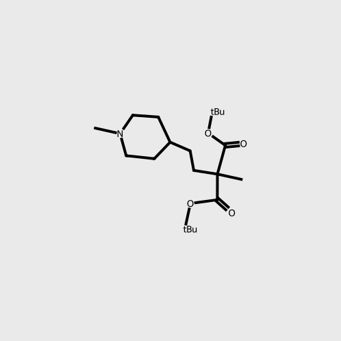 CN1CCC(CCC(C)(C(=O)OC(C)(C)C)C(=O)OC(C)(C)C)CC1